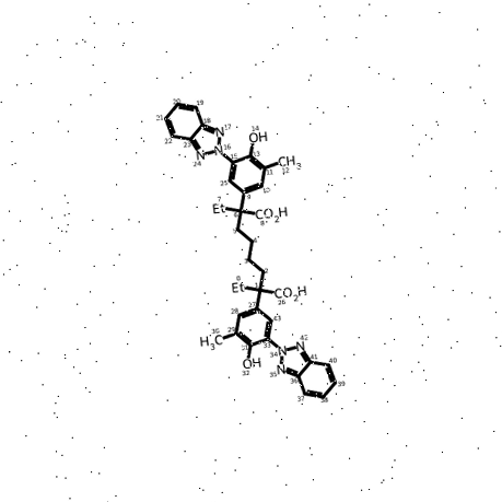 CCC(CCCCC(CC)(C(=O)O)c1cc(C)c(O)c(-n2nc3ccccc3n2)c1)(C(=O)O)c1cc(C)c(O)c(-n2nc3ccccc3n2)c1